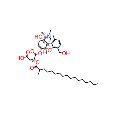 CCCCCCCCCCCCCCCC(C)C(=O)O[C@@H](CC(=O)O)C(=O)OC1=CC[C@@]2(O)[C@@H](C)N(C)CC[C@@]23c2c(C)ccc(CO)c2O[C@@H]13